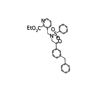 CCOC(=O)c1ncccc1CN(CC(=O)c1cccc(Cc2ccccc2)c1)S(=O)(=O)c1ccccc1